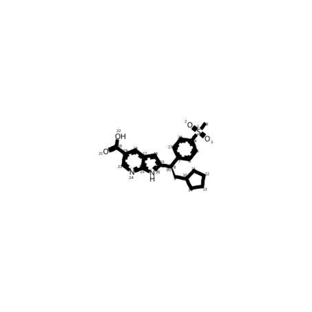 CS(=O)(=O)c1ccc([C@@H](CC2CCCC2)c2cc3cc(C(=O)O)cnc3[nH]2)cc1